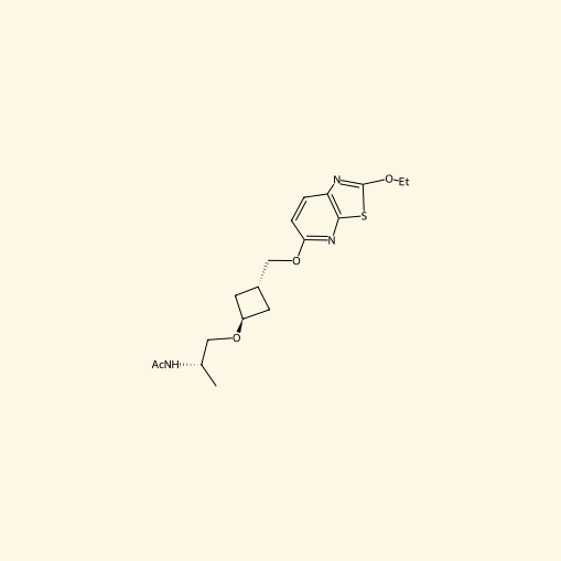 CCOc1nc2ccc(OC[C@H]3C[C@H](OC[C@H](C)NC(C)=O)C3)nc2s1